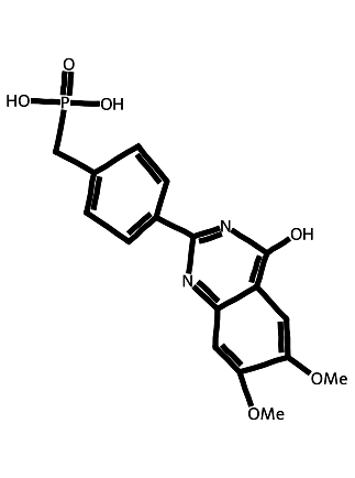 COc1cc2nc(-c3ccc(CP(=O)(O)O)cc3)nc(O)c2cc1OC